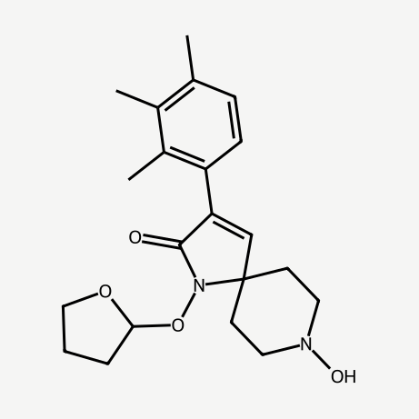 Cc1ccc(C2=CC3(CCN(O)CC3)N(OC3CCCO3)C2=O)c(C)c1C